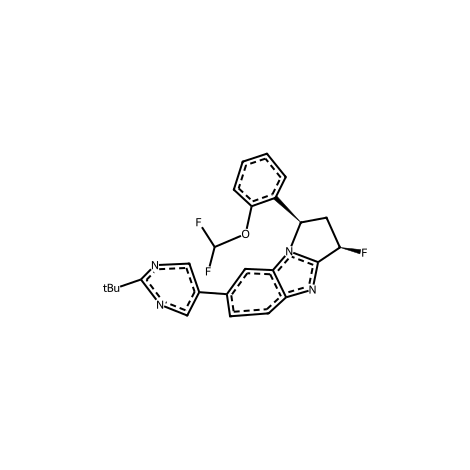 CC(C)(C)c1ncc(-c2ccc3nc4n(c3c2)[C@@H](c2ccccc2OC(F)F)C[C@H]4F)cn1